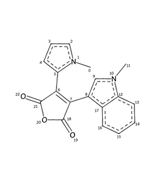 Cn1cccc1C1=C(c2cn(C)c3ccccc23)C(=O)OC1=O